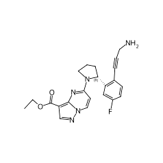 CCOC(=O)c1cnn2ccc(N3CCC[C@@H]3c3cc(F)ccc3C#CCN)nc12